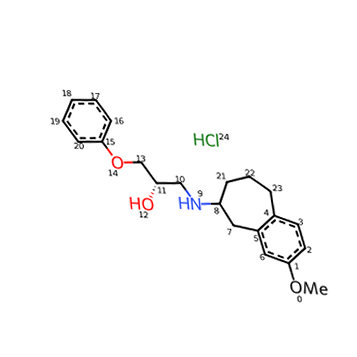 COc1ccc2c(c1)CC(NC[C@H](O)COc1ccccc1)CCC2.Cl